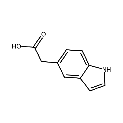 O=C(O)Cc1ccc2[nH]ccc2c1